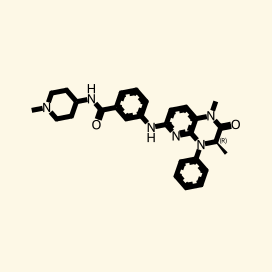 C[C@@H]1C(=O)N(C)c2ccc(Nc3cccc(C(=O)NC4CCN(C)CC4)c3)nc2N1c1ccccc1